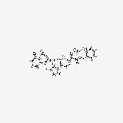 Cc1noc(-c2ccc(C(=O)N[C@H](Cc3ccccc3)C(=O)O)cc2)c1NC(=O)OC(C)c1ccccc1Cl